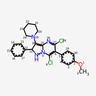 COc1ccc(C2=C(Cl)N3NC(c4ccccc4)C(N4CCCCC4)=C3N=C2Cl)cc1